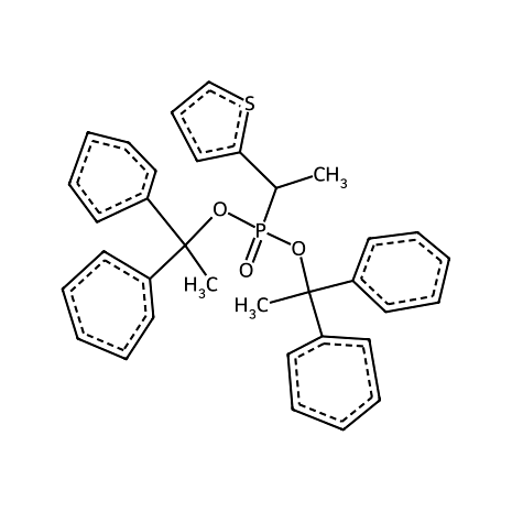 CC(c1cccs1)P(=O)(OC(C)(c1ccccc1)c1ccccc1)OC(C)(c1ccccc1)c1ccccc1